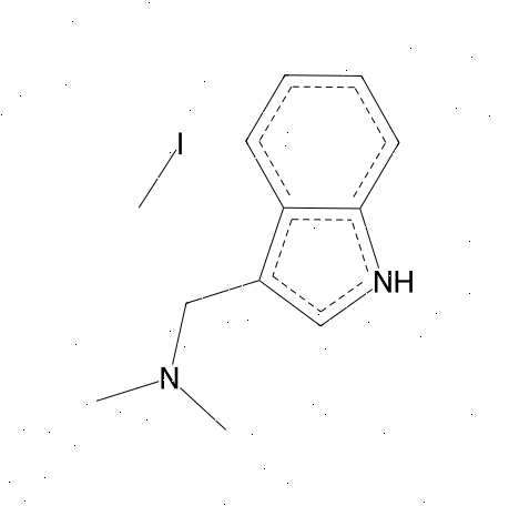 CI.CN(C)Cc1c[nH]c2ccccc12